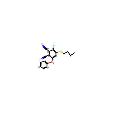 CCCCSc1cc(Oc2ccccc2)c(C#N)c(C#N)c1F